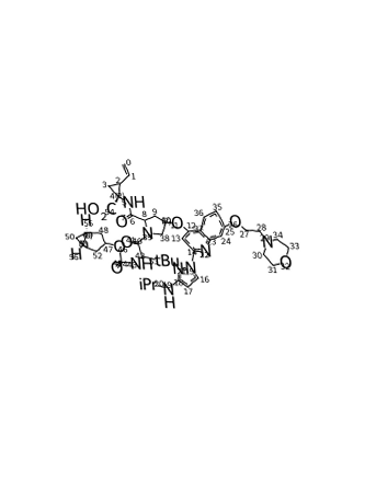 C=CC1C[C@]1(NC(=O)C1C[C@@H](Oc2cc(-n3ccc(NC(C)C)n3)nc3cc(OCCN4CCOCC4)ccc23)CN1C(=O)C(NC(=O)OC1C[C@@H]2C[C@@H]2C1)C(C)(C)C)C(=O)O